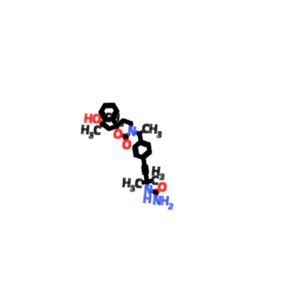 C[C@@H](c1ccc(C#CC(C)(C)NC(N)=O)cc1)N1CCC(CC(C)(C)O)(c2ccccc2)OC1=O